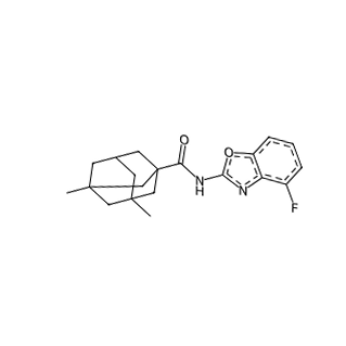 CC12CC3CC(C)(C1)CC(C(=O)Nc1nc4c(F)cccc4o1)(C3)C2